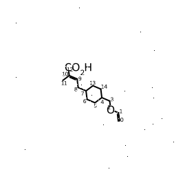 C=COCC1CCC(CC=C(C)C(=O)O)CC1